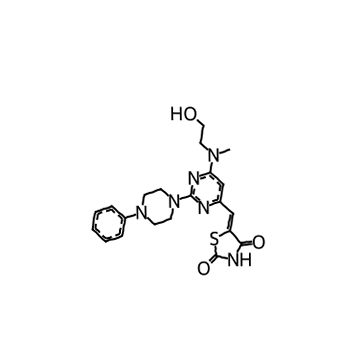 CN(CCO)c1cc(/C=C2\SC(=O)NC2=O)nc(N2CCN(c3ccccc3)CC2)n1